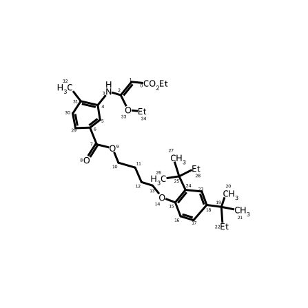 CCOC(=O)C=C(Nc1cc(C(=O)OCCCCOc2ccc(C(C)(C)CC)cc2C(C)(C)CC)ccc1C)OCC